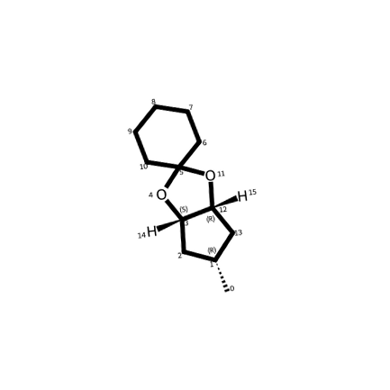 C[C@@H]1C[C@@H]2OC3(CCCCC3)O[C@@H]2C1